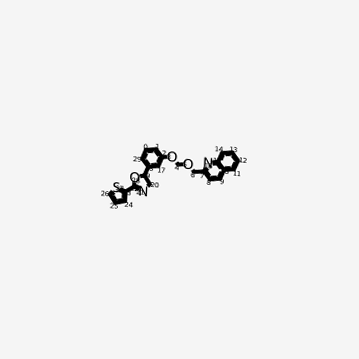 c1cc(OCOCc2ccc3ccccc3n2)cc(C2CN=C(c3cccs3)O2)c1